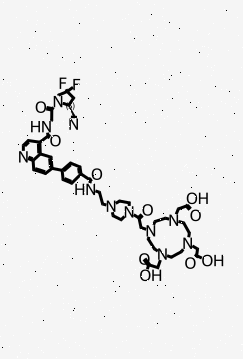 N#C[C@@H]1CC(F)(F)CN1C(=O)CNC(=O)c1ccnc2ccc(-c3ccc(C(=O)NCCN4CCN(C(=O)CN5CCN(CC(=O)O)CCN(CC(=O)O)CCN(CC(=O)O)CC5)CC4)cc3)cc12